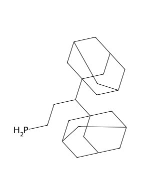 PCCC(C12CC3CC(CC(C3)C1)C2)C12CC3CC(CC(C3)C1)C2